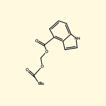 CC(C)(C)C(=O)OCOC(=O)c1cccc2[nH]ccc12